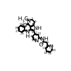 CN1CCc2[nH]c(-c3ccnc(NC(=O)Cc4ccccn4)c3)c(Nc3ccccc3)c2C1=O